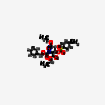 CCOC(=O)CC(OS(=O)(=O)c1ccc(C)cc1)C(NC(=O)OCc1ccccc1)C(=O)OCC